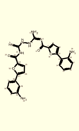 N=C(NNC(N)=NC(=O)c1ccc(-c2ccccc2N)o1)NC(=O)c1ccc(-c2cccc(N)c2)o1